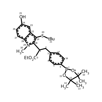 CCOC(=O)C(Cc1ccc(B2OC(C)(C)C(C)(C)O2)cc1)c1c(SC(C)(C)C)c2cc(O)ccc2n1C